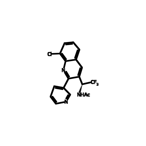 CC(=O)N[C@H](c1cc2cccc(Cl)c2nc1-c1cccnc1)C(F)(F)F